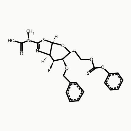 CN(C(=O)O)C1=N[C@@H]2[C@H](F)[C@H](OCc3ccccc3)[C@@H](CCOC(=S)Oc3ccccc3)O[C@@H]2S1